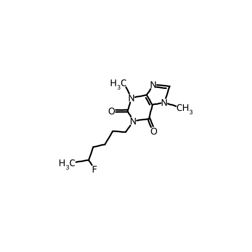 CC(F)CCCCn1c(=O)c2c(ncn2C)n(C)c1=O